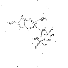 Cc1nc2cc(CCC(O)(P(=O)(O)O)P(=O)(O)O)c(C)cc2[nH]1